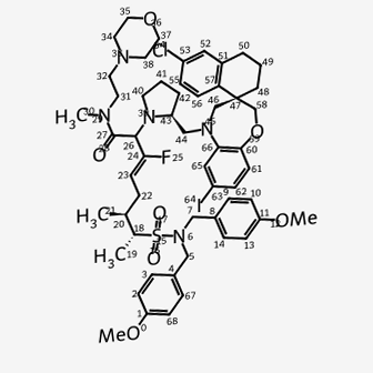 COc1ccc(CN(Cc2ccc(OC)cc2)S(=O)(=O)[C@H](C)[C@@H](C)C/C=C(\F)C(C(=O)N(C)CCN2CCOCC2)N2CCC[C@H]2CN2C[C@@]3(CCCc4cc(Cl)ccc43)COc3ccc(I)cc32)cc1